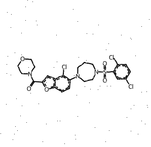 O=C(c1cc2c(Cl)c(N3CCCN(S(=O)(=O)c4cc(Cl)ccc4Cl)CC3)ccc2o1)N1CCOCC1